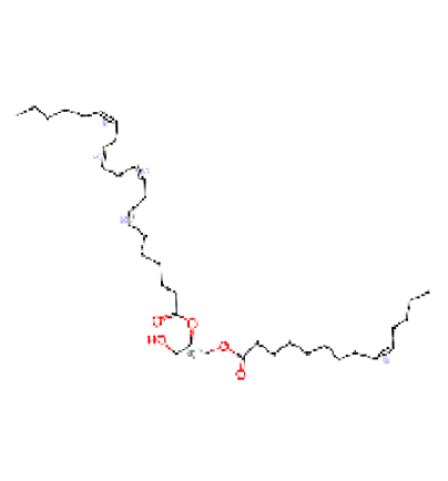 CCCC/C=C\CCCCCCCC(=O)OC[C@H](CO)OC(=O)CCCCC/C=C\C/C=C\C/C=C\C/C=C\CCCCC